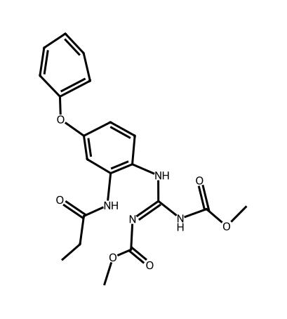 CCC(=O)Nc1cc(Oc2ccccc2)ccc1NC(=NC(=O)OC)NC(=O)OC